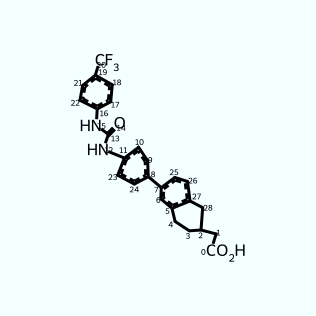 O=C(O)CC1CCc2cc(-c3ccc(NC(=O)Nc4ccc(C(F)(F)F)cc4)cc3)ccc2C1